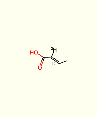 [2H]/C(=C\C)C(=O)O